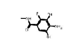 [2H]c1cc(C(=O)NC)c(F)c([2H])c1N